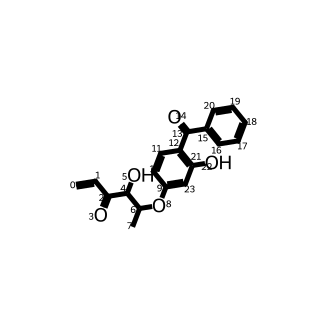 C=CC(=O)C(O)C(C)Oc1ccc(C(=O)c2ccccc2)c(O)c1